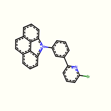 Brc1cccc(-c2cccc(-n3c4cccc5ccc6cccc3c6c54)c2)n1